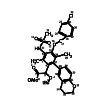 COC(=O)C(OC(C)(C)C)c1c(C)c(NS(C)(=O)=O)c(OCc2ccc(Cl)cc2)c(C)c1-c1ccc2c(c1)CCCO2